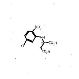 O=C(O)C[C@@H](Nc1cc(Cl)ccc1[N+](=O)[O-])C(=O)O